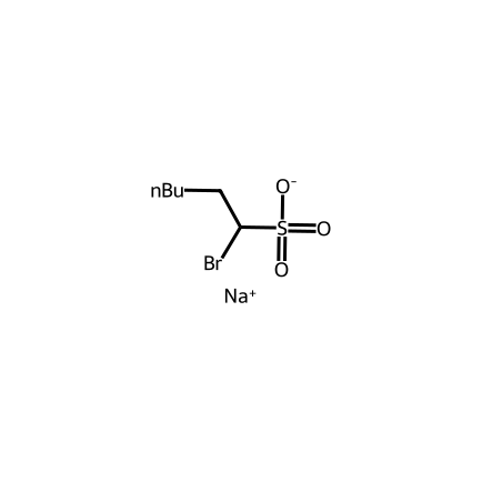 CCCCCC(Br)S(=O)(=O)[O-].[Na+]